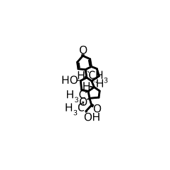 CO[C@]1(C(=O)CO)CC[C@H]2[C@@H]3CCC4=CC(=O)C=C[C@]4(C)[C@H]3[C@@H](O)C[C@@]21C